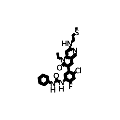 CCn1c(=O)c(-c2cc(NC(=O)Nc3ccccc3)c(F)cc2Cl)cc2cnc(NCCSC)cc21